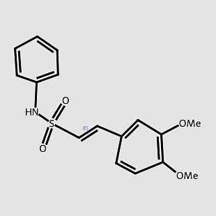 COc1ccc(/C=C/S(=O)(=O)Nc2ccccc2)cc1OC